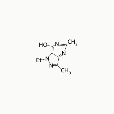 CCn1nc(C)c2nc(C)nc(O)c21